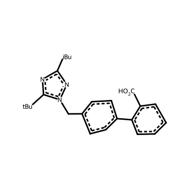 CCC(C)c1nc(C(C)(C)C)n(Cc2ccc(-c3ccccc3C(=O)O)cc2)n1